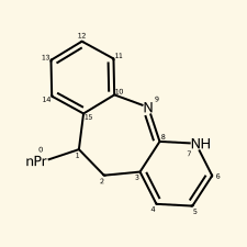 CCCC1CC2=CC=CNC2=Nc2ccccc21